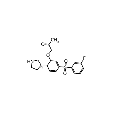 CC(=O)COC1C=C(S(=O)(=O)c2cccc(F)c2)C=CC1[C@@H]1CCNC1